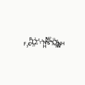 Fc1cc(CCCNc2ncc(-c3ccc4[nH]ncc4c3)s2)ccc1C(F)(F)F